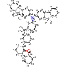 CC1(C)c2ccccc2-c2ccc(N(c3ccc4c(c3)C(C)(C)c3ccccc3-4)c3ccc4c(c3)C(C)(C)c3cc(-c5cccc6c5oc5ccccc56)ccc3-4)cc21